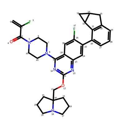 C=C(F)C(=O)N1CCN(c2nc(OCC34CCCN3CCC4)nc3cc(-c4cccc5c4C4CC4C5)c(F)cc23)CC1